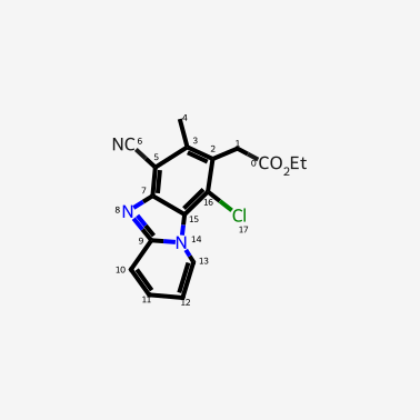 CCOC(=O)Cc1c(C)c(C#N)c2nc3ccccn3c2c1Cl